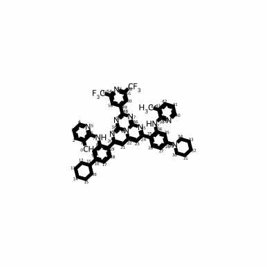 Cc1cccnc1Nc1cc(C2CCCCC2)ccc1C1=CC2=CC(c3ccc(N4CCCCC4)cc3Nc3ncccc3C)=NC3=NC(c4cc(C(F)(F)F)nc(C(F)(F)F)c4)=NC(=N1)N23